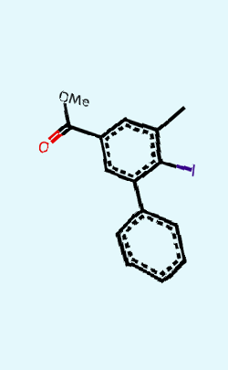 COC(=O)c1cc(C)c(I)c(-c2ccccc2)c1